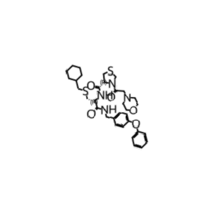 O=C(NCc1ccc(Oc2ccccc2)cc1)[C@H](CSCC1CCCCC1)NC(=O)[C@@H]1CSCN1C(=O)CN1CCOCC1